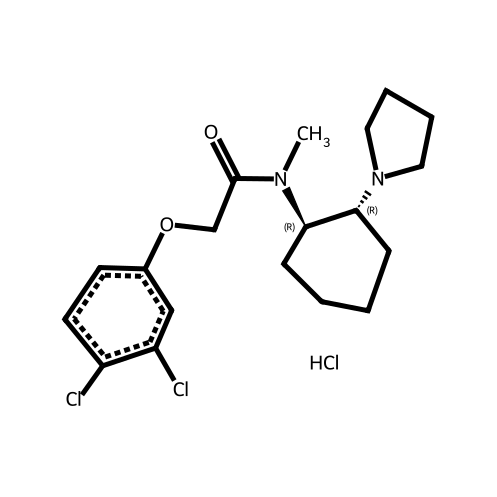 CN(C(=O)COc1ccc(Cl)c(Cl)c1)[C@@H]1CCCC[C@H]1N1CCCC1.Cl